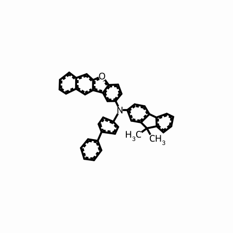 CC1(C)c2ccccc2-c2ccc(N(c3ccc(-c4ccccc4)cc3)c3ccc4oc5cc6ccccc6cc5c4c3)cc21